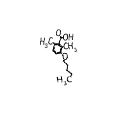 CCCCCOc1ccc(C)c(C(=O)O)c1C